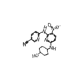 N#Cc1ccc(Nc2nc(NC3CCC(O)CC3)ccc2[N+](=O)[O-])nc1